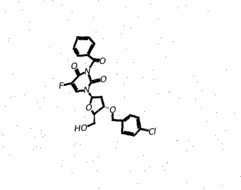 O=C(c1ccccc1)n1c(=O)c(F)cn([C@H]2C[C@H](OCc3ccc(Cl)cc3)[C@@H](CO)O2)c1=O